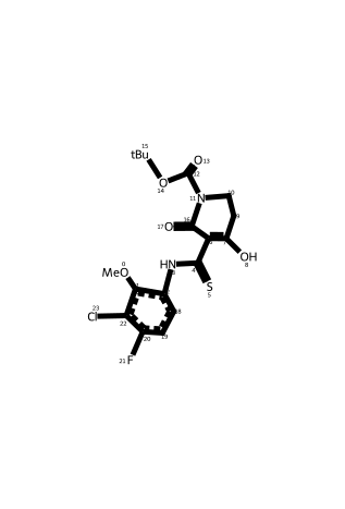 COc1c(NC(=S)C2=C(O)CCN(C(=O)OC(C)(C)C)C2=O)ccc(F)c1Cl